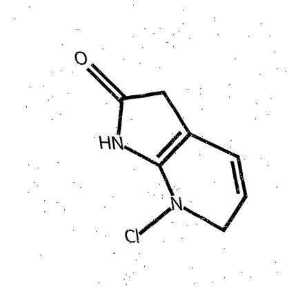 O=C1CC2=C(N1)N(Cl)CC=C2